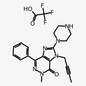 CC#CCn1c(N2CCNCC2)nc2c(-c3ccccc3)nn(C)c(=O)c21.O=C(O)C(F)(F)F